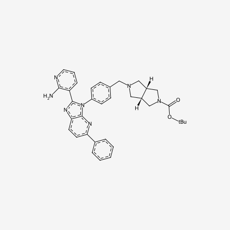 CC(C)(C)OC(=O)N1C[C@H]2CN(Cc3ccc(-n4c(-c5cccnc5N)nc5ccc(-c6ccccc6)nc54)cc3)C[C@H]2C1